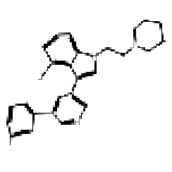 Clc1cccc(-c2cncc(-c3cn(CCN4CCCCC4)c4cccc(Cl)c34)c2)c1